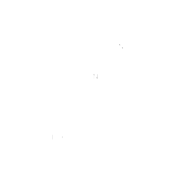 Oc1ccc(N2CCCNCC2)cc1